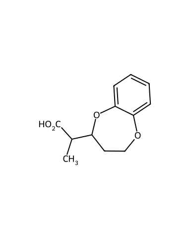 CC(C(=O)O)C1CCOc2ccccc2O1